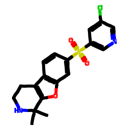 CC1(C)NCCc2c1oc1cc(S(=O)(=O)c3cncc(Cl)c3)ccc21